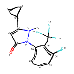 Cn1c(C2CC2)cc(=O)n1-c1cccc(F)c1C(F)(F)F